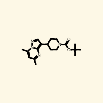 Cc1cc(C)n2ncc(C3CCN(C(=O)OC(C)(C)C)CC3)c2n1